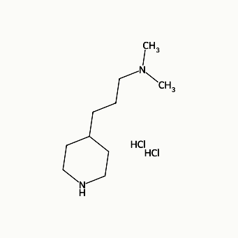 CN(C)CCCC1CCNCC1.Cl.Cl